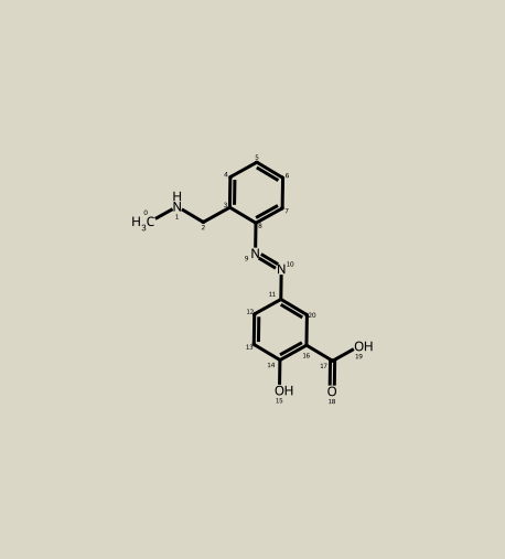 CNCc1ccccc1N=Nc1ccc(O)c(C(=O)O)c1